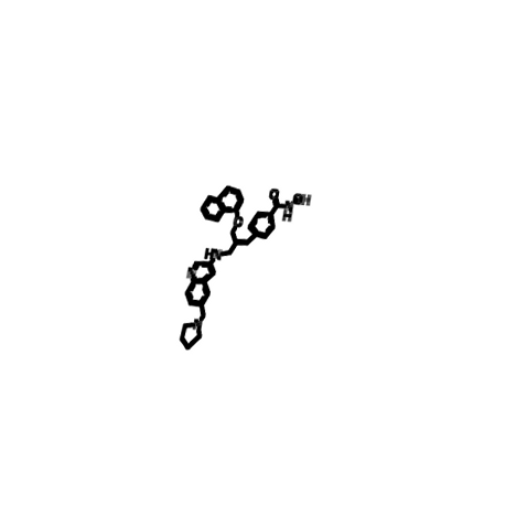 O=C(NO)c1ccc(C=C(CNc2cnc3ccc(CN4CCCC4)cc3c2)COc2cccc3ccccc23)cc1